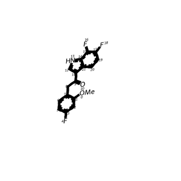 COc1cc(F)ccc1CC(=O)c1c[nH]c2c(F)c(F)ccc12